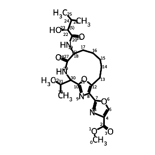 COC(=O)c1coc(-c2nc3oc2CCCCC[C@H](NC(=O)[C@@H](O)C(C)C)C(=O)NC3C(C)C)n1